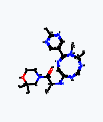 CC[C@H](Nc1cnc(-c2cnc(C)nc2)n(CC)c(C)ncn1)C(=O)N1CCOC(C)(C)C1